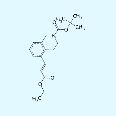 CCOC(=O)/C=C/c1cccc2c1CCN(C(=O)OC(C)(C)C)C2